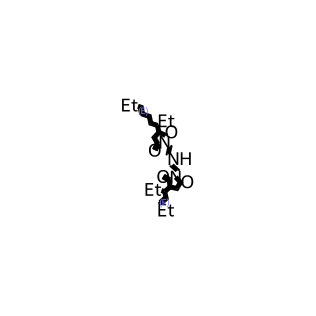 CC/C=C/CCC(CC)C1CC(=O)N(CCNCCN2C(=O)CC(C(/C=C/CC)CC)C2=O)C1=O